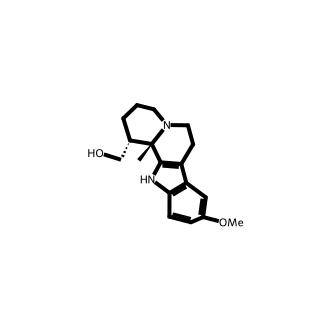 COc1ccc2[nH]c3c(c2c1)CCN1CCC[C@@H](CO)[C@@]31C